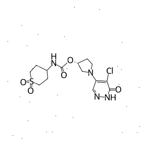 O=C(NC1CCS(=O)(=O)CC1)O[C@@H]1CCN(c2cn[nH]c(=O)c2Cl)C1